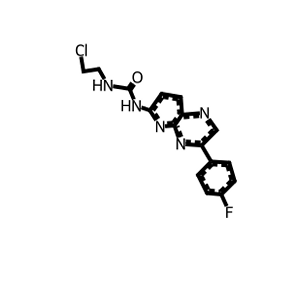 O=C(NCCCl)Nc1ccc2ncc(-c3ccc(F)cc3)nc2n1